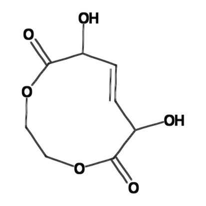 O=C1OCCOC(=O)C(O)/C=C/C1O